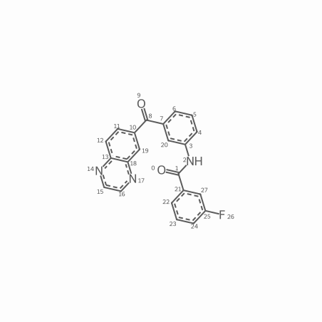 O=C(Nc1cccc(C(=O)c2ccc3nccnc3c2)c1)c1cccc(F)c1